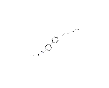 CCCCCCCOc1ccc(-c2ccc(/C=C/C(=O)OCC)cc2)cc1